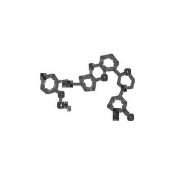 COc1ccncc1CNc1ccc2c(c1)Sc1cccc(C3CN(c4cc[nH]c(=O)c4)CCO3)c1O2